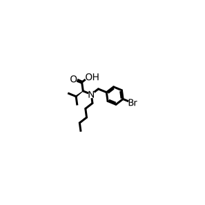 CCCCCN(Cc1ccc(Br)cc1)[C@H](C(=O)O)C(C)C